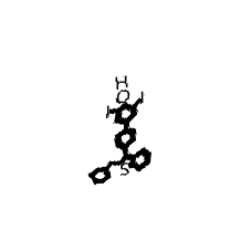 Oc1c(I)cc(-c2ccc(-c3c(Cc4ccccc4)sc4ccccc34)cc2)cc1I